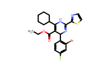 CCOC(=O)C1=C(C2CCCCC2)NC(c2nccs2)=NC1c1ccc(F)cc1Br